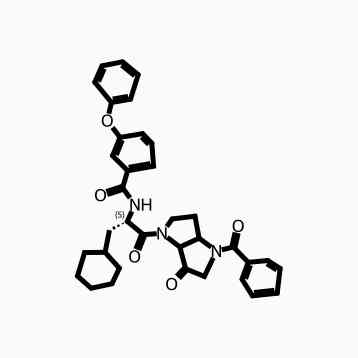 O=C(N[C@@H](CC1CCCCC1)C(=O)N1CCC2C1C(=O)CN2C(=O)c1ccccc1)c1cccc(Oc2ccccc2)c1